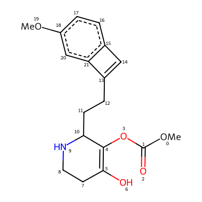 COC(=O)OC1=C(O)CCNC1CCC1=Cc2ccc(OC)cc21